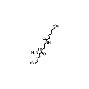 CC(C)(C)CCCCCC(=O)NCCNC(=O)[C@@H](N)CSCC(C)(C)C